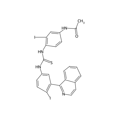 CC(=O)Nc1ccc(NC(=S)Nc2ccc(I)c(-c3nccc4ccccc34)c2)c(I)c1